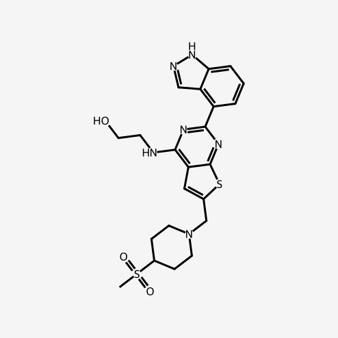 CS(=O)(=O)C1CCN(Cc2cc3c(NCCO)nc(-c4cccc5[nH]ncc45)nc3s2)CC1